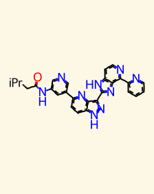 CC(C)CC(=O)Nc1cncc(-c2ccc3[nH]nc(-c4nc5c(-c6ccccn6)nccc5[nH]4)c3n2)c1